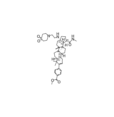 CNC(=O)[C@@H]1CC[C@]2(NCCN3CCS(=O)(=O)CC3)CC[C@]3(C)[C@H](CC[C@@H]4[C@@]5(C)CC=C(c6ccc(C(=O)OC)cc6)C(C)(C)[C@@H]5CC[C@]43C)[C@@H]12